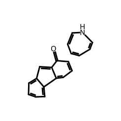 C1=CC=CNC=C1.O=C1C=CC=C2C1=Cc1ccccc12